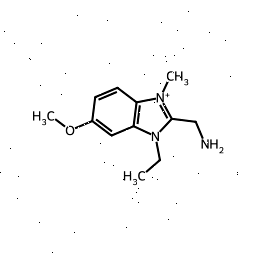 CCn1c(CN)[n+](C)c2ccc(OC)cc21